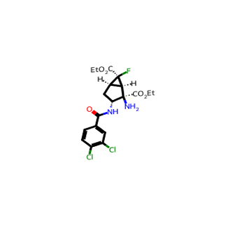 CCOC(=O)[C@@]1(N)[C@H]2[C@@H](C[C@H]1NC(=O)c1ccc(Cl)c(Cl)c1)[C@]2(F)C(=O)OCC